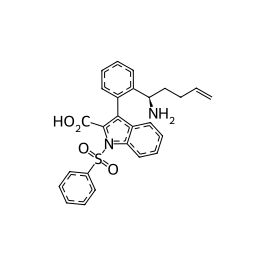 C=CCC[C@@H](N)c1ccccc1-c1c(C(=O)O)n(S(=O)(=O)c2ccccc2)c2ccccc12